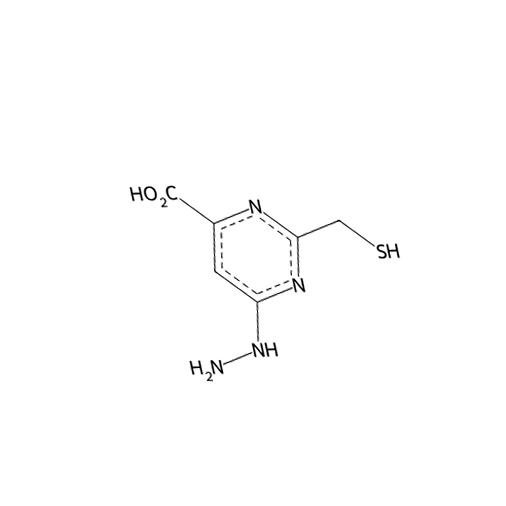 NNc1cc(C(=O)O)nc(CS)n1